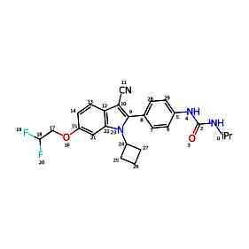 CC(C)NC(=O)Nc1ccc(-c2c(C#N)c3ccc(OCC(F)F)cc3n2C2CCC2)cc1